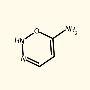 NC1=CC=NNO1